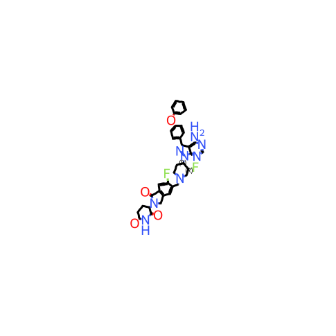 Nc1ncnc2c1c(-c1ccc(Oc3ccccc3)cc1)nn2[C@@H]1CCN(Cc2cc3c(cc2F)C(=O)N(C2CCC(=O)NC2=O)C3)C[C@H]1F